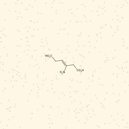 O=C(O)C/C=C(/CC(=O)O)[N+](=O)[O-]